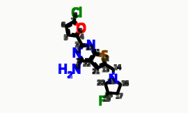 Nc1nc(-c2ccc(Cl)o2)nc2sc(CN3CCC(F)C3)cc12